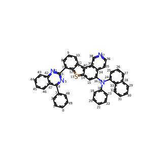 c1ccc(-c2nc(-c3cccc4c3sc3cc(N(c5ccccc5)c5cccc6ccccc56)c5ccncc5c34)nc3ccccc23)cc1